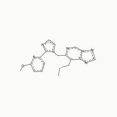 CCCc1c(Cn2ccnc2-c2cccc(OC)n2)ncn2ncnc12